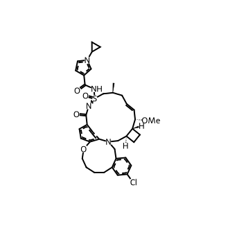 CO[C@H]1/C=C/C[C@H](C)CS(=O)(NC(=O)c2ccn(C3CC3)c2)=NC(=O)c2ccc3c(c2)N(Cc2ccc(Cl)cc2CCCCO3)C[C@@H]2CC[C@H]21